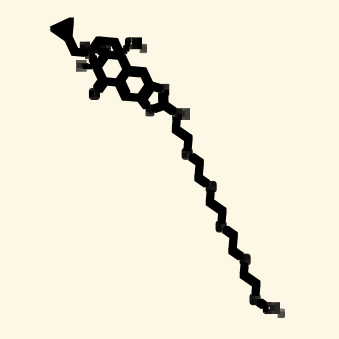 COCCOCCOCCOCCOCCNc1nc2cc3c(cc2s1)C(=O)[C@@H]1[C@H](C)[C@@]3(C)CCN1CC1CC1